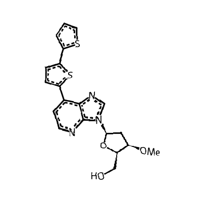 CO[C@@H]1C[C@H](n2cnc3c(-c4ccc(-c5cccs5)s4)ccnc32)O[C@@H]1CO